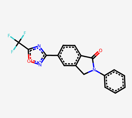 O=C1c2ccc(-c3noc(C(F)(F)F)n3)cc2CN1c1ccccc1